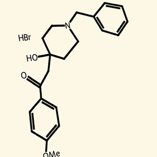 Br.COc1ccc(C(=O)CC2(O)CCN(Cc3ccccc3)CC2)cc1